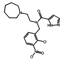 O=C(c1ccn[nH]1)N(CCN1CCCCCC1)Cc1cccc([N+](=O)[O-])c1Cl